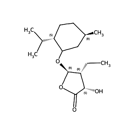 CC[C@H]1[C@H](OC2C[C@H](C)CC[C@H]2C(C)C)OC(=O)[C@H]1O